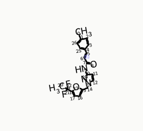 Cc1ccc(/C=C/C(=O)Nc2ccn(Cc3ccc(C(C)(F)F)o3)n2)cc1